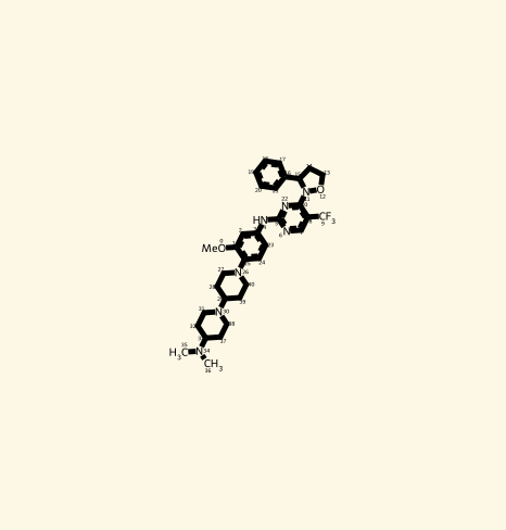 COc1cc(Nc2ncc(C(F)(F)F)c(N3OCCC3c3ccccc3)n2)ccc1N1CCC(N2CCC(N(C)C)CC2)CC1